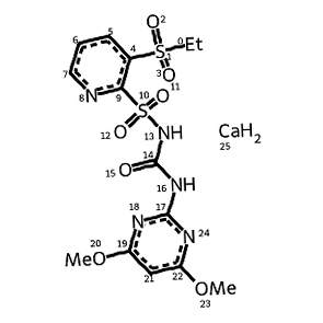 CCS(=O)(=O)c1cccnc1S(=O)(=O)NC(=O)Nc1nc(OC)cc(OC)n1.[CaH2]